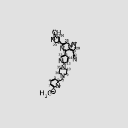 COc1cccc(CN2CCN(c3ccc(-c4nc(-c5cnn(C)c5)cn5ncc(C#N)c45)cn3)CC2)n1